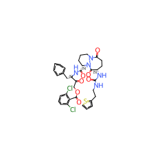 O=C(NCCc1cccs1)N[C@H]1CCC(=O)N2CCC[C@@H](C(=O)N[C@@H](Cc3ccccc3)C(=O)COC(=O)c3c(Cl)cccc3Cl)N2C1=O